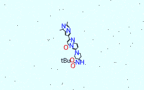 Cc1cn2cc(-c3cc(=O)n4cc(N5CCC(C)(NC(=O)OC(C)(C)C)CC5)ccc4n3)cc2c(C)n1